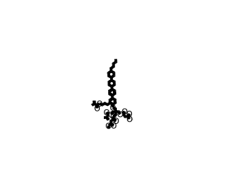 C=C(C)C(=O)OCCCc1cc(-c2ccc(C3CCC(C4CCC(CCCCC)CC4)CC3)cc2)ccc1OCC(COC(=O)CC(=O)OC)(COC(=O)CC(=O)OC)COC(=O)C(=C)C